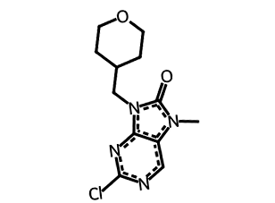 Cn1c(=O)n(CC2CCOCC2)c2nc(Cl)ncc21